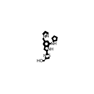 OC[C@@H]1CSC(C2Cc3cc(Cn4cccn4)cc(NC4CCCC4)c3N2)=N1